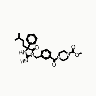 COC(=O)N1CCN(C(=O)c2cccc(CN3C(=N)NC(CCC(C)C)(c4ccccc4)C3=O)c2)CC1